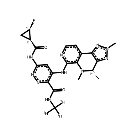 [2H]C([2H])([2H])NC(=O)c1nnc(NC(=O)[C@H]2C[C@H]2F)cc1Nc1nccc2c1N(C)[C@@H](C)c1nn(C)nc1-2